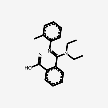 CCN(CC)C(=Nc1ccccc1C)c1ccccc1C(O)=S